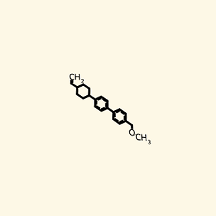 C=CC1CCC(c2ccc(-c3ccc(COC)cc3)cc2)CC1